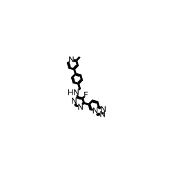 Cc1cc(-c2ccc(CNc3ncnc(-c4ccc5nncn5c4)c3F)cc2)ccn1